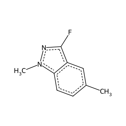 Cc1ccc2c(c1)c(F)nn2C